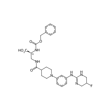 O=C(N[C@@H](CNC(=O)C1CCN(c2cccc(NC3=NCC(F)CN3)c2)CC1)C(=O)O)OCc1ccccc1